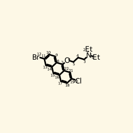 CCN(CC)CCCOc1c2ccc(Br)cc2cc2ccc(Cl)cc12